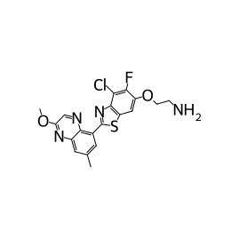 COc1cnc2c(-c3nc4c(Cl)c(F)c(OCCN)cc4s3)cc(C)cc2n1